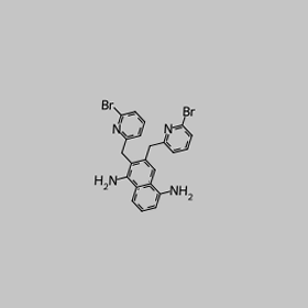 Nc1cccc2c(N)c(Cc3cccc(Br)n3)c(Cc3cccc(Br)n3)cc12